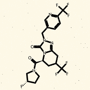 O=C([C@@H]1CC(C(F)(F)F)Cc2nn(Cc3ccc(C(F)(F)F)nc3)c(=O)n21)N1CC[C@H](F)C1